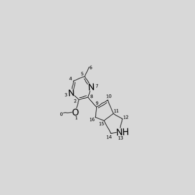 COc1ncc(C)nc1C1=CC2CNCC2C1